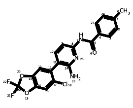 Cc1ccc(C(=O)Nc2ccc(-c3cc4c(cc3Cl)OC(F)(F)O4)c(N)n2)cc1